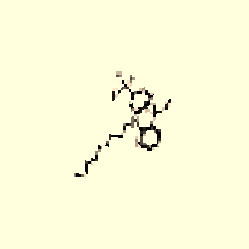 CCCCCCCCCN(c1cccc(C(F)(F)F)c1)c1ncccc1C(=O)CC